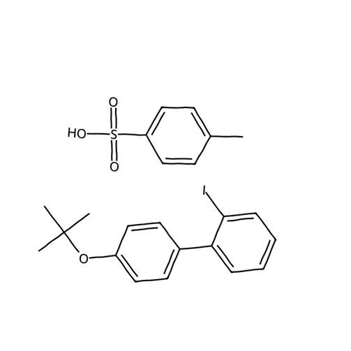 CC(C)(C)Oc1ccc(-c2ccccc2I)cc1.Cc1ccc(S(=O)(=O)O)cc1